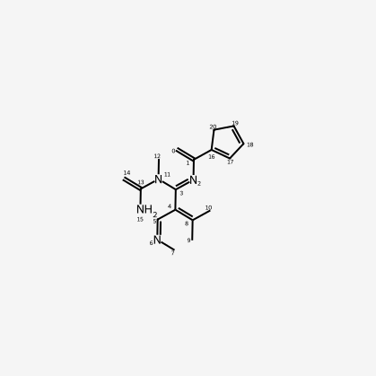 C=C(/N=C(/C(/C=N\C)=C(C)C)N(C)C(=C)N)C1=CC=CC1